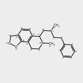 CN(CCc1ccccc1)CC1c2ccc3c(c2CCN1C)OOC3